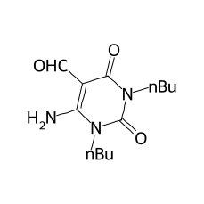 CCCCn1c(N)c(C=O)c(=O)n(CCCC)c1=O